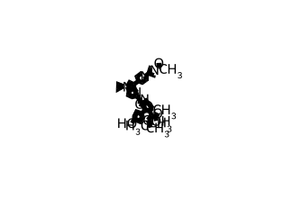 CC(=O)N1CC(N2CCC(c3cn(C4CC4)c4ccc(-c5nc6cc(C)c(C(OC(C)(C)C)C(=O)O)c(-c7ccc(O)cc7)c6o5)nc34)CC2)C1